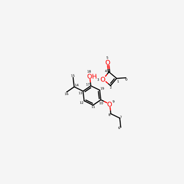 CC1=COC1=O.CCCOc1ccc(C(C)C)c(O)c1